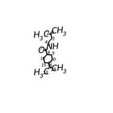 CC(C)CCNC(=O)C1CCC(C(C)C)CC1